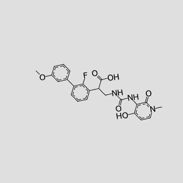 COc1cccc(-c2cccc(C(CNC(=O)Nc3c(O)ccn(C)c3=O)C(=O)O)c2F)c1